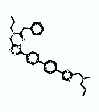 CCCN(C)Cc1nc(-c2ccc(-c3ccc(-c4noc(CN(CCC)C(=O)Cc5ccccc5)n4)cc3)cc2)cs1